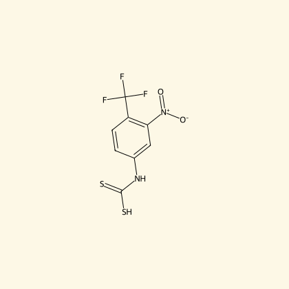 O=[N+]([O-])c1cc(NC(=S)S)ccc1C(F)(F)F